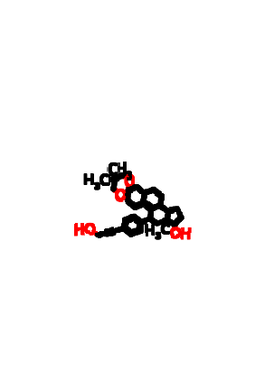 CC1(C)COC2(CCC3=C4C(c5ccc(C#CCO)cc5)CC5(C)C(O)CCC5C4CCC3C2)OC1